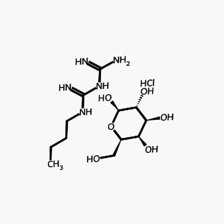 CCCCNC(=N)NC(=N)N.Cl.OC[C@H]1O[C@@H](O)[C@H](O)[C@@H](O)[C@H]1O